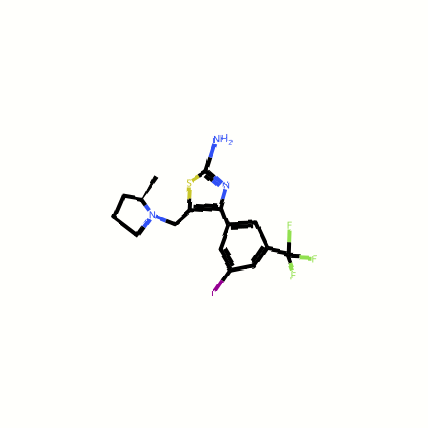 C[C@@H]1CCCN1Cc1sc(N)nc1-c1cc(I)cc(C(F)(F)F)c1